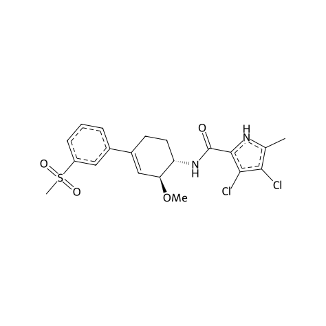 CO[C@H]1C=C(c2cccc(S(C)(=O)=O)c2)CC[C@@H]1NC(=O)c1[nH]c(C)c(Cl)c1Cl